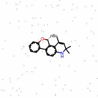 CCCC[C@H]1Oc2ccccc2-c2ccc3c(c21)C(C)=CC(C)(C)N3